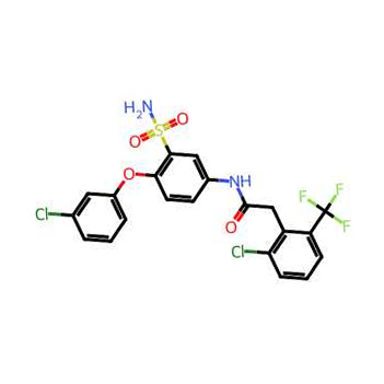 NS(=O)(=O)c1cc(NC(=O)Cc2c(Cl)cccc2C(F)(F)F)ccc1Oc1cccc(Cl)c1